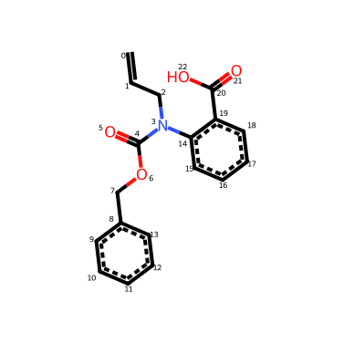 C=CCN(C(=O)OCc1ccccc1)c1ccccc1C(=O)O